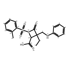 CCC1(CNc2ccccc2)C(=O)N(S(=O)(=O)c2ccccc2C)C1C(=O)O